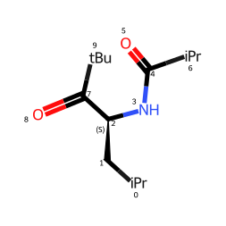 CC(C)C[C@H](NC(=O)C(C)C)C(=O)C(C)(C)C